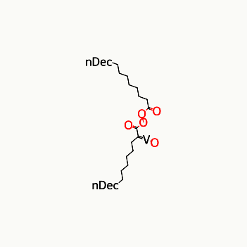 CCCCCCCCCCCCCCCCCC(=O)OOC(=O)[C](CCCCCCCCCCCCCCCC)=[V]=[O]